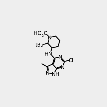 Cc1n[nH]c2nc(Cl)nc(NC3CCCN(C(=O)O)C3C(C)(C)C)c12